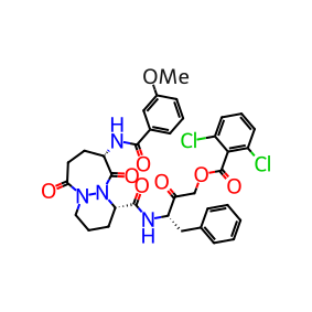 COc1cccc(C(=O)N[C@H]2CCC(=O)N3CCC[C@@H](C(=O)N[C@@H](Cc4ccccc4)C(=O)COC(=O)c4c(Cl)cccc4Cl)N3C2=O)c1